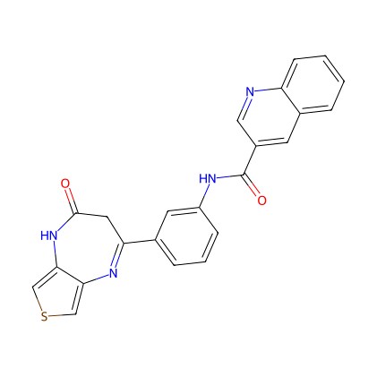 O=C1CC(c2cccc(NC(=O)c3cnc4ccccc4c3)c2)=Nc2cscc2N1